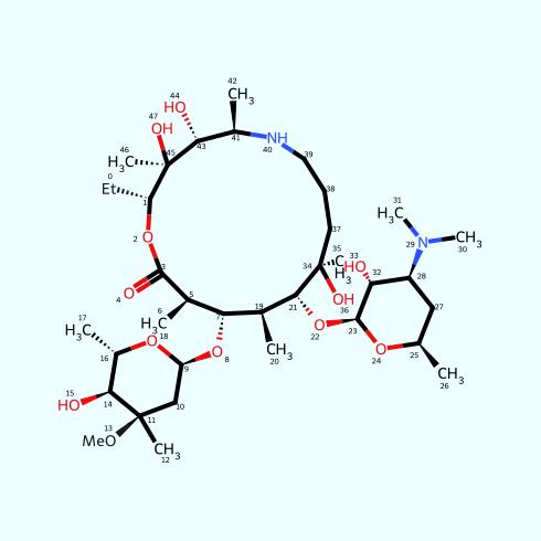 CC[C@H]1OC(=O)[C@H](C)[C@@H](O[C@H]2C[C@@](C)(OC)[C@@H](O)[C@H](C)O2)[C@H](C)[C@@H](O[C@@H]2O[C@H](C)C[C@H](N(C)C)[C@H]2O)[C@](C)(O)CCCN[C@H](C)[C@@H](O)[C@]1(C)O